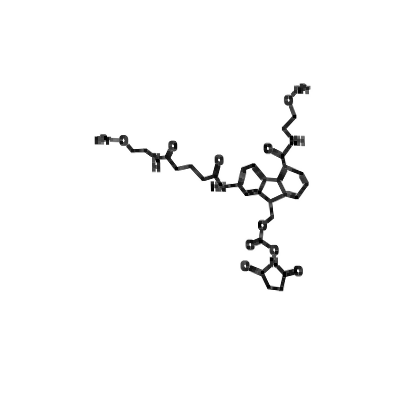 CCCOCCNC(=O)CCCC(=O)Nc1ccc2c(c1)C(COC(=O)ON1C(=O)CCC1=O)c1cccc(C(=O)NCCOCCC)c1-2